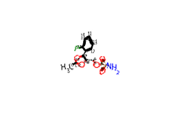 CC1O[C@@H](COS(N)(=O)=O)[C@H](c2ccccc2F)O1